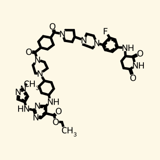 CCOC(=O)c1cnc(Nc2cnn(C)c2)nc1NC1CCC(N2CCN(C(=O)C3CCC(C(=O)N4CCC(N5CCN(c6ccc(NC7CCC(=O)NC7=O)cc6F)CC5)CC4)CC3)CC2)CC1